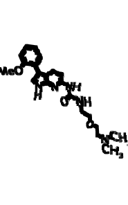 COc1ccccc1-c1c[nH]c2nc(NC(=O)NCCOCCN(C)C)ccc12